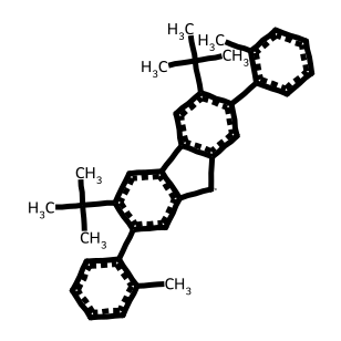 Cc1ccccc1-c1cc2c(cc1C(C)(C)C)-c1cc(C(C)(C)C)c(-c3ccccc3C)cc1[CH]2